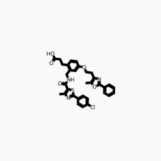 Cc1nc(-c2ccc(Cl)cc2)sc1C(=O)NCc1cc(OCCc2nc(-c3ccccc3)oc2C)ccc1CCC(=O)O